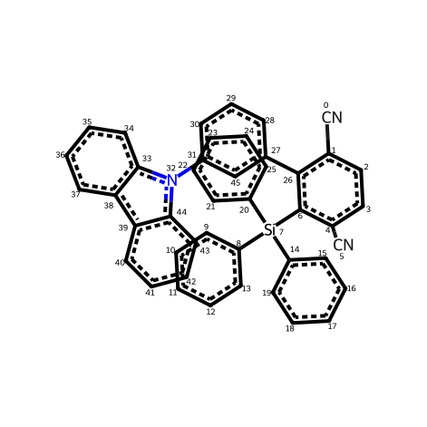 N#Cc1ccc(C#N)c([Si](c2ccccc2)(c2ccccc2)c2ccccc2)c1-c1cccc(-n2c3ccccc3c3ccccc32)c1